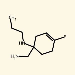 CCCNC1(CN)CC=C(F)CC1